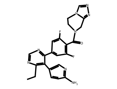 CCc1ncnc(-c2cc(F)c(C(=O)N3CCn4cnnc4C3)c(F)c2)c1-c1ccc(N)nc1